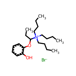 CCCC[N+](CCCC)(CCCC)C(CC)Oc1ccccc1O.[Br-]